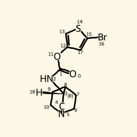 O=C(N[C@H]1CN2CCC1CC2)Oc1csc(Br)c1